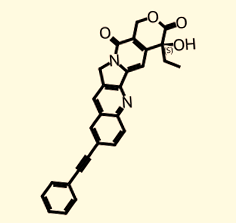 CC[C@@]1(O)C(=O)OCc2c1cc1n(c2=O)Cc2cc3cc(C#Cc4ccccc4)ccc3nc2-1